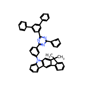 CC1(C)c2ccccc2-c2cc3c4ccccc4n(-c4cccc(-c5nc(-c6ccccc6)nc(-c6cc(-c7ccccc7)cc(-c7ccccc7)c6)n5)c4)c3cc21